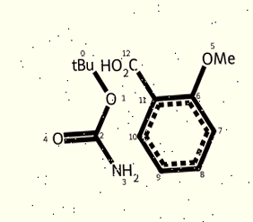 CC(C)(C)OC(N)=O.COc1ccccc1C(=O)O